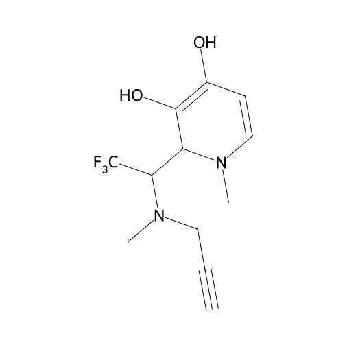 C#CCN(C)C(C1C(O)=C(O)C=CN1C)C(F)(F)F